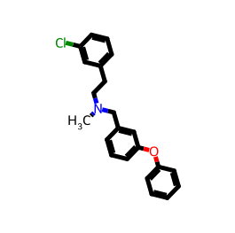 CN(CCc1cccc(Cl)c1)Cc1cccc(Oc2ccccc2)c1